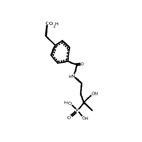 CC(O)(CCNC(=O)c1ccc(CC(=O)O)cc1)P(=O)(O)O